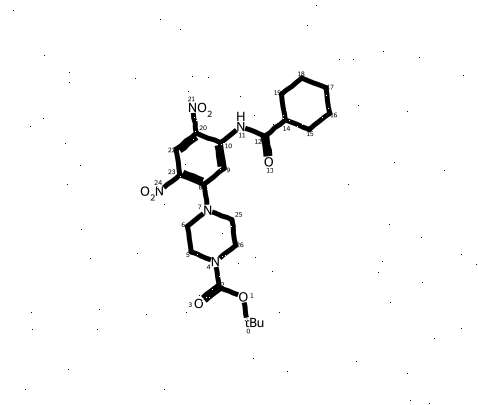 CC(C)(C)OC(=O)N1CCN(c2cc(NC(=O)C3CCCCC3)c([N+](=O)[O-])cc2[N+](=O)[O-])CC1